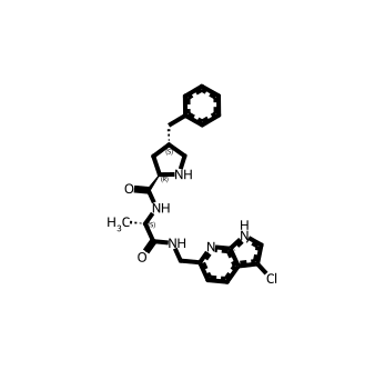 C[C@H](NC(=O)[C@H]1C[C@H](Cc2ccccc2)CN1)C(=O)NCc1ccc2c(Cl)c[nH]c2n1